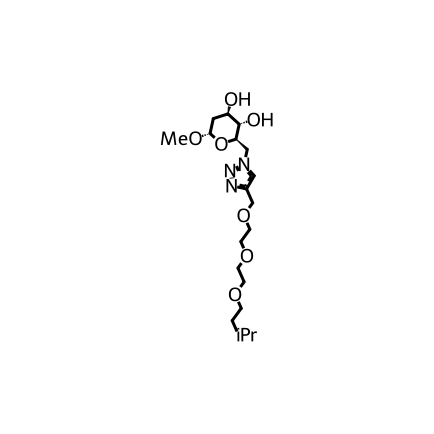 CO[C@@H]1C[C@@H](O)[C@H](O)[C@@H](Cn2cc(COCCOCCOCCC(C)C)nn2)O1